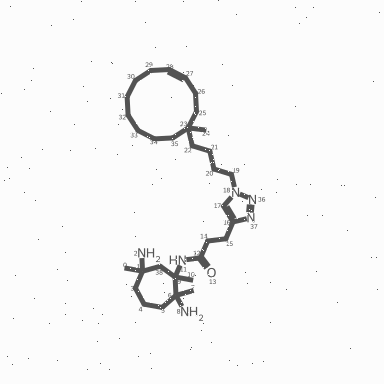 CC1(N)CCCC(C)(N)C(C)(NC(=O)CCc2cn(CCCCC3(C)CC/C=C\CCCCCCC3)nn2)C1